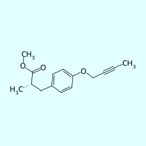 CC#CCOc1ccc(C[C@H](C)C(=O)OC)cc1